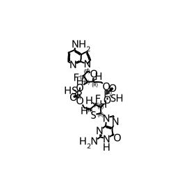 Nc1nc2c(ncn2[C@@H]2S[C@@H]3CO[P@@](=O)(S)O[C@H]4[C@H](F)[C@H](n5ccc6c(N)ccnc65)O[C@@H]4CO[P@@](=O)(S)O[C@@H]2[C@H]3F)c(=O)[nH]1